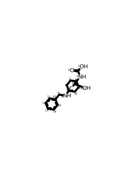 O=C(O)NC12CCC(NCc3ccccc3)(CC1)CC2O